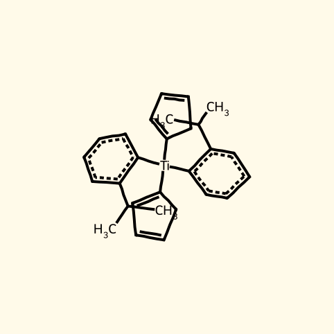 CC(C)c1cccc[c]1[Ti]([C]1=CC=CC1)([C]1=CC=CC1)[c]1ccccc1C(C)C